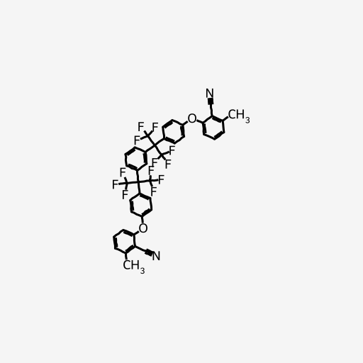 Cc1cccc(Oc2ccc(C(c3cccc(C(c4ccc(Oc5cccc(C)c5C#N)cc4)(C(F)(F)F)C(F)(F)F)c3)(C(F)(F)F)C(F)(F)F)cc2)c1C#N